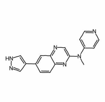 CN(c1ccncc1)c1cnc2cc(-c3cn[nH]c3)ccc2n1